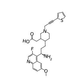 COc1ccc2ncc(F)c([C@H](N)CCC3CCN(CC#Cc4cccs4)CC3CC(=O)O)c2c1